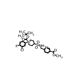 COC(=O)c1ccc(CNS(=O)(=O)C2CC[N+](C(=O)OC(C)(C)C)(c3ccc(F)c(Cl)c3)CC2)nc1